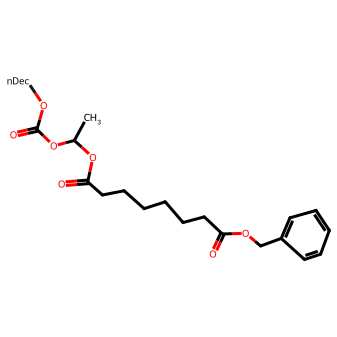 CCCCCCCCCCOC(=O)OC(C)OC(=O)CCCCCCC(=O)OCc1ccccc1